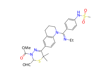 CCN=C(c1ccc(NS(C)(=O)=O)cc1)N1CCCc2cc(C3=NN(C(=O)OC)C(C=O)SC3(C)C)ccc21